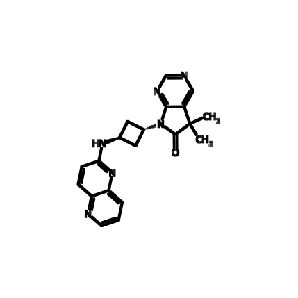 CC1(C)C(=O)N([C@H]2C[C@H](Nc3ccc4ncccc4n3)C2)c2ncncc21